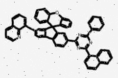 c1ccc(-c2nc(-c3ccc4c(c3)C3(c5ccccc5Oc5ccccc53)c3cc(-c5cccc6cccnc56)ccc3-4)nc(-c3cccc4ccccc34)n2)cc1